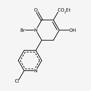 CCOC(=O)C1=C(O)CC(c2ccc(Cl)nc2)N(Br)C1=O